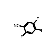 N#Cc1cc(F)c(I)cc1F